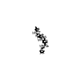 Cc1cc(Nc2ncc3c(n2)N(C)NC3Nc2cc(C(=O)NCCN3CCCC3)cnc2C)n(C)n1